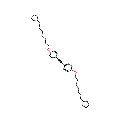 C(#Cc1ccc(OCCCCCCCC2CCCC2)cc1)c1ccc(OCCCCCCCC2CCCC2)cc1